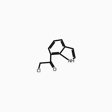 O=C(CCl)c1cccc2cc[nH]c12